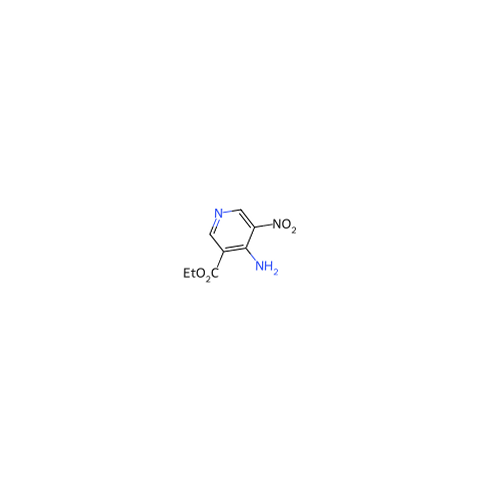 CCOC(=O)c1cncc([N+](=O)[O-])c1N